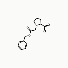 O=C(CN1CCCC1C(=O)Cl)OCc1ccccc1